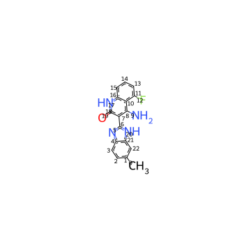 Cc1ccc2nc(-c3c(N)c4c(F)cccc4[nH]c3=O)[nH]c2c1